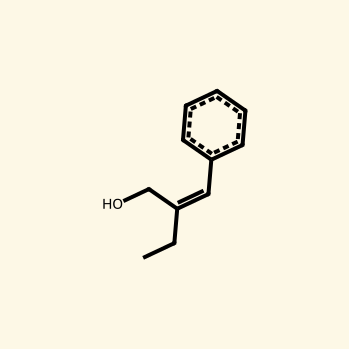 CCC(=Cc1ccccc1)CO